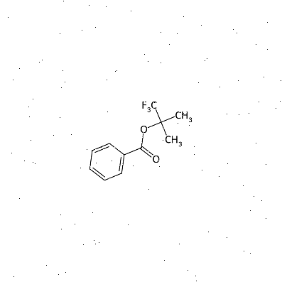 CC(C)(OC(=O)c1ccccc1)C(F)(F)F